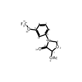 CC(=O)OC1OCN(c2cccc(OC(F)(F)F)c2)C1=O